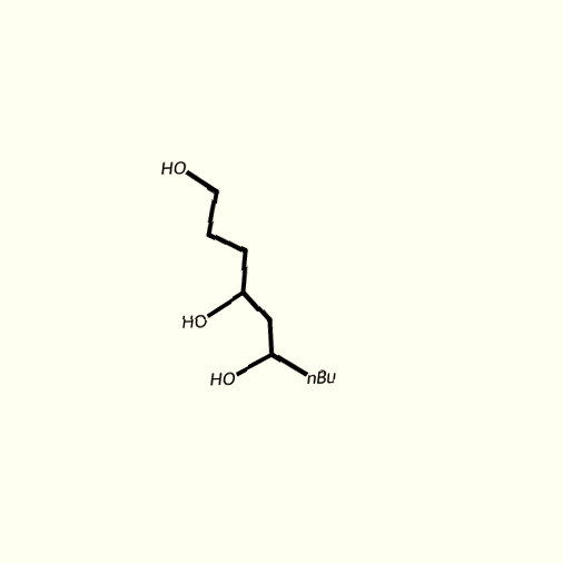 [CH2]CCCC(O)CC(O)CCCO